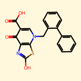 O=C(O)c1cn(Cc2ccccc2-c2ccccc2)c2sc(O)nc2c1=O